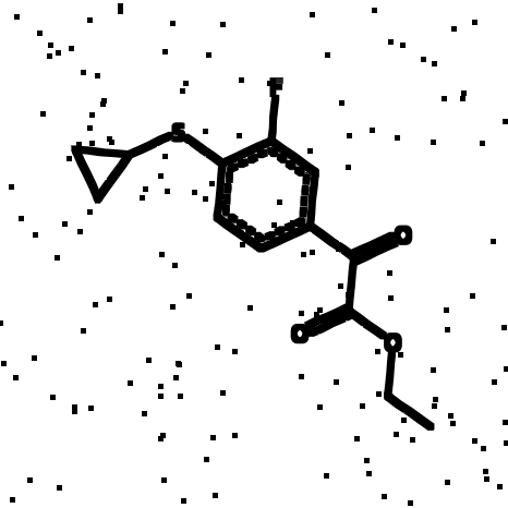 CCOC(=O)C(=O)c1ccc(SC2CC2)c(F)c1